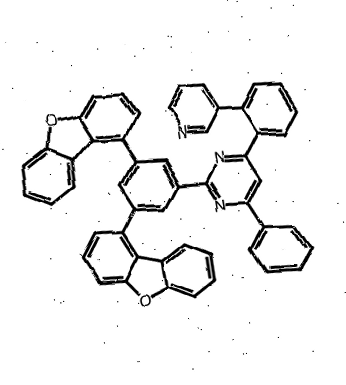 c1ccc(-c2cc(-c3ccccc3-c3cccnc3)nc(-c3cc(-c4cccc5oc6ccccc6c45)cc(-c4cccc5oc6ccccc6c45)c3)n2)cc1